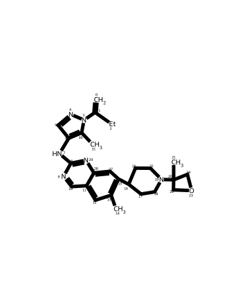 C=C(CC)n1ncc(Nc2ncc3cc(C)c(C4CCN(C5(C)COC5)CC4)cc3n2)c1C